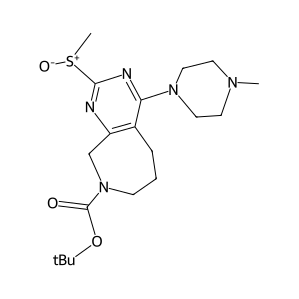 CN1CCN(c2nc([S+](C)[O-])nc3c2CCCN(C(=O)OC(C)(C)C)C3)CC1